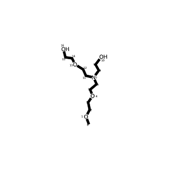 COCCOCCN(CCO)CCOCCO